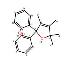 CC1=C(C)C(c2ccccc2)(c2ccccc2O)OC1(C)C